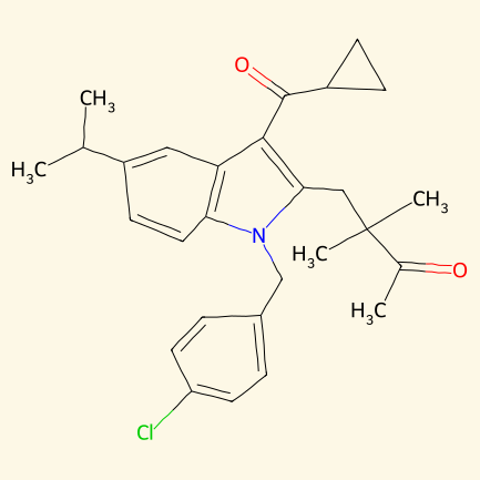 CC(=O)C(C)(C)Cc1c(C(=O)C2CC2)c2cc(C(C)C)ccc2n1Cc1ccc(Cl)cc1